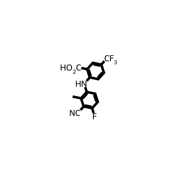 Cc1c(Nc2ccc(C(F)(F)F)cc2C(=O)O)ccc(F)c1C#N